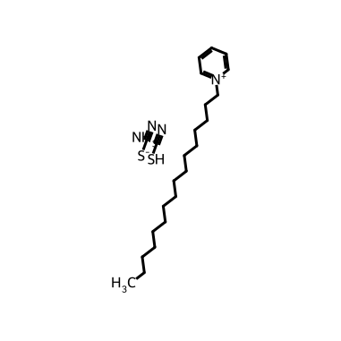 CCCCCCCCCCCCCCCC[n+]1ccccc1.N.N#CS.N#C[S-]